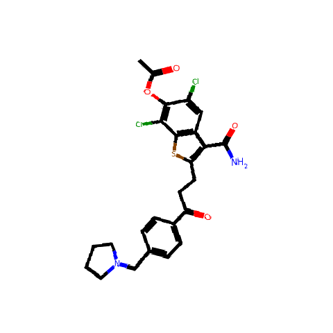 CC(=O)Oc1c(Cl)cc2c(C(N)=O)c(CCC(=O)c3ccc(CN4CCCC4)cc3)sc2c1Cl